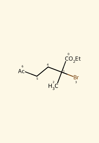 CCOC(=O)C(C)(Br)CCC(C)=O